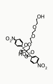 O=[N+]([O-])c1ccc(S(=O)(=O)C(O)(COCCOCCOCCO)S(=O)(=O)c2ccc([N+](=O)[O-])cc2)cc1